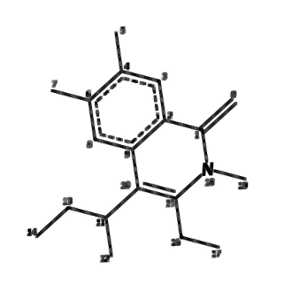 C=C1c2cc(C)c(C)cc2C(C(C)CC)=C(CC)N1C